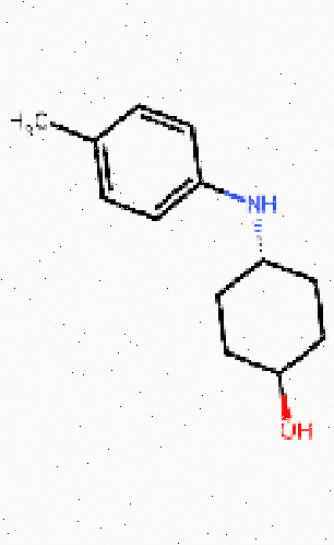 Cc1ccc(N[C@H]2CC[C@H](O)CC2)cc1